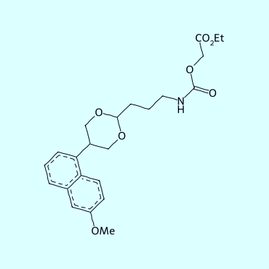 CCOC(=O)COC(=O)NCCCC1OCC(c2cccc3cc(OC)ccc23)CO1